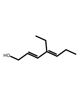 CC/C=C(/C=C/CO)CC